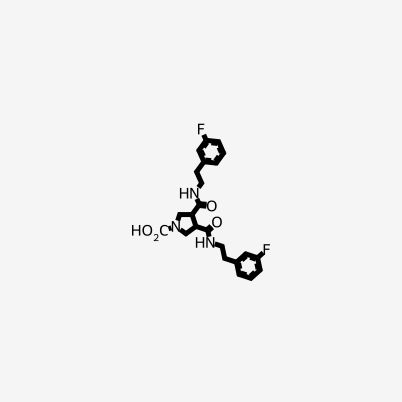 O=C(NCCc1cccc(F)c1)C1CN(C(=O)O)CC1C(=O)NCCc1cccc(F)c1